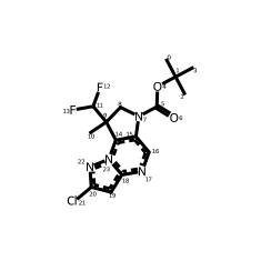 CC(C)(C)OC(=O)N1CC(C)(C(F)F)c2c1cnc1cc(Cl)nn21